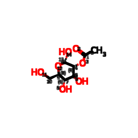 CC(=O)O[C@@H]1[C@@H](O)[C@H](O)[C@@H](CO)O[C@@H]1O